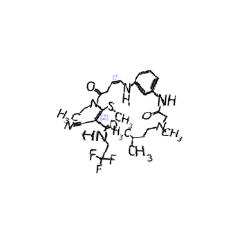 CCN(C(=O)C/C=C\Nc1cccc(NC(=O)CN(C)CCC(C)C)c1)/C(SC)=C(\C#N)C(=O)NCC(F)(F)F